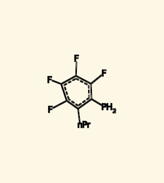 CCCc1c(F)c(F)c(F)c(F)c1P